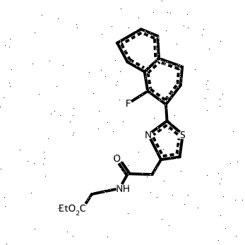 CCOC(=O)CNC(=O)Cc1csc(-c2ccc3ccccc3c2F)n1